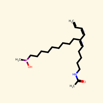 C=C/C=C\C(=C\CCCCNC(C)=O)CCCCCCCCCP(C)O